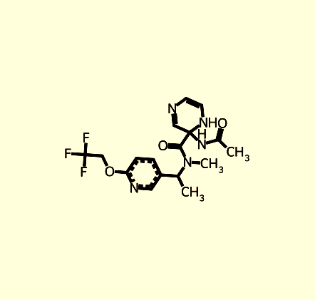 CC(=O)NC1(C(=O)N(C)C(C)c2ccc(OCC(F)(F)F)nc2)C=NC=CN1